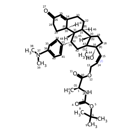 C[C@H](NC(=O)OC(C)(C)C)C(=O)OC/C=C\[C@]1(O)CC[C@H]2[C@@H]3CCC4=CC(=O)CC[C@@H]4[C@H]3[C@@H](c3ccc(N(C)C)cc3)C[C@@]21C